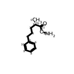 C[C@@H](CCCc1ccccc1)C(=O)ON